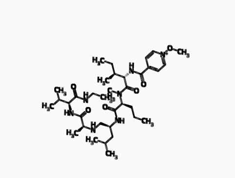 CCC[C@@H](C(=O)N[C@H](CN[C@@H](C)C(=O)N[C@H](C(=O)NCC)C(C)C)CC(C)C)N(C)C(=O)[C@@H](NC(=O)c1cc[n+](OC)cc1)[C@@H](C)CC